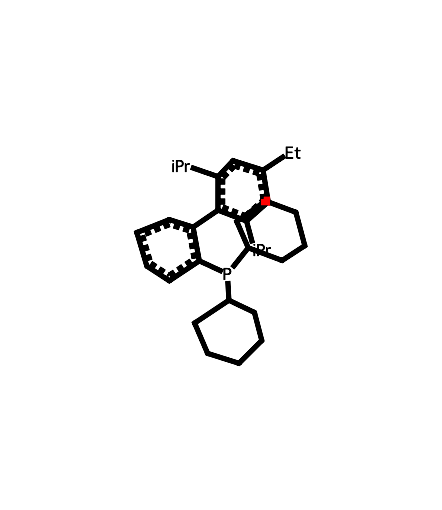 CCc1cc(C(C)C)c(-c2ccccc2P(C2CCCCC2)C2CCCCC2)c(C(C)C)c1